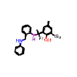 CCC(C)(Pc1ccccc1CNc1ccccc1)c1cc(C)cc(C(C)(C)C)c1O